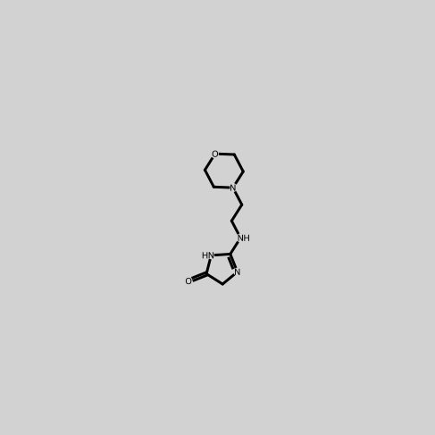 O=C1CN=C(NCCN2CCOCC2)N1